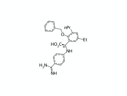 CCCc1cc(CC)cc([C@@H](Nc2ccc(C(=N)N)cc2)C(=O)O)c1OCc1ccccc1